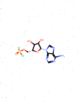 Nc1ncnc2c1ncn2[C@@H]1O[C@H](COP(=O)(Cl)Cl)C(O)C1O